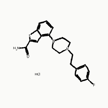 Cl.NC(=O)c1cc2c(N3CCN(CCc4ccc(F)cc4)CC3)cccc2s1